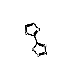 c1coc(-c2nnns2)n1